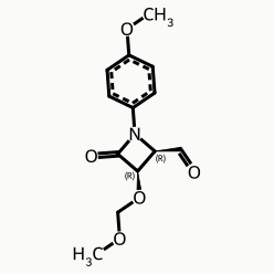 COCO[C@H]1C(=O)N(c2ccc(OC)cc2)[C@H]1C=O